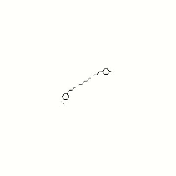 O=C(/C=C/c1ccc([N+](=O)[O-])cc1)OCCCCCOC(=O)/C=C/c1ccc([N+](=O)[O-])cc1